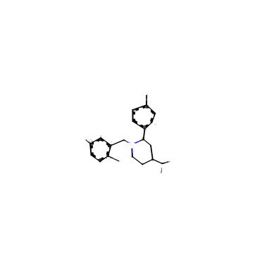 CCC[C@H](C(=O)O)C1CCN(Cc2cc(C(F)(F)F)ccc2C(F)(F)F)C(c2ccc(C(F)(F)F)cc2)C1